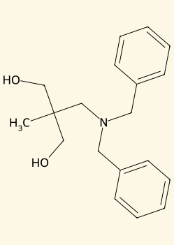 CC(CO)(CO)CN(Cc1ccccc1)Cc1ccccc1